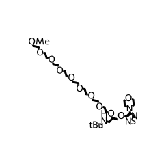 COCCOCCOCCOCCOCCOCCOCCOCCOC(CNC(C)(C)C)COc1nsnc1N1CCOCC1